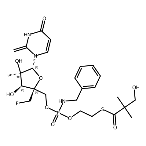 C=C1NC(=O)C=CN1[C@@H]1O[C@](CF)(COP(=O)(NCc2ccccc2)OCCSC(=O)C(C)(C)CO)[C@@H](O)[C@@]1(C)O